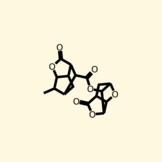 CC1C2CC3C1OC(=O)C3C2C(=O)OC1C2CC3C(=O)OC1C3O2